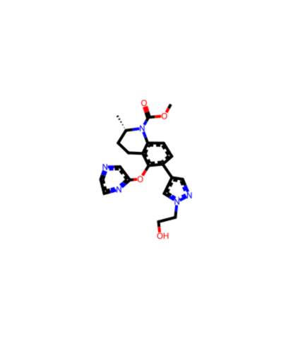 COC(=O)N1c2ccc(-c3cnn(CCO)c3)c(Oc3cnccn3)c2CC[C@@H]1C